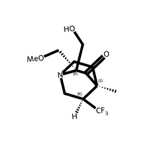 COC[C@]1(CO)C(=O)[C@@]2(C)CCN1C[C@@H]2C(F)(F)F